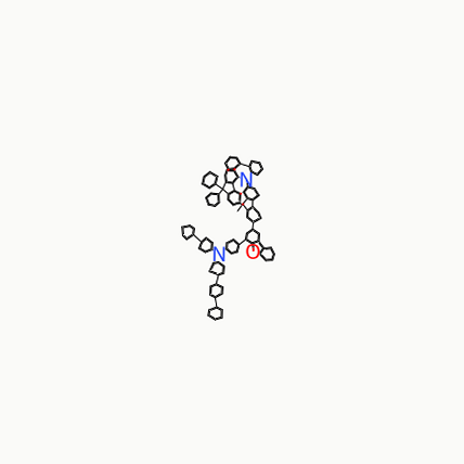 CC1(C)c2cc(-c3cc(-c4ccc(N(c5ccc(-c6ccccc6)cc5)c5ccc(-c6ccc(-c7ccccc7)cc6)cc5)cc4)c4oc5ccccc5c4c3)ccc2-c2ccc(N(c3ccccc3-c3ccccc3)c3cccc4c3-c3ccccc3C4(c3ccccc3)c3ccccc3)cc21